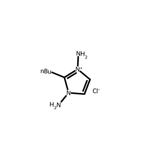 CCCCc1n(N)cc[n+]1N.[Cl-]